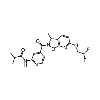 CC(C)C(=O)Nc1cc(C(=O)N2Oc3nc(OCC(F)F)ccc3C2C)ccn1